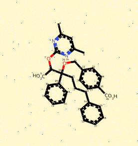 Cc1cc(C)nc(OC(C(=O)O)C(CCCc2ccccc2)(OCc2ccc(C(=O)O)cc2)c2ccccc2)n1